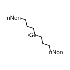 CCCCCCCCCCC[CH2][Ge][CH2]CCCCCCCCCCC